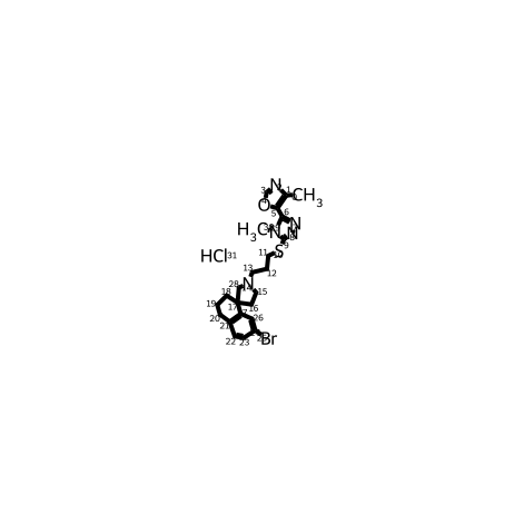 Cc1ncoc1-c1nnc(SCCCN2CCC3(CCCc4ccc(Br)cc43)C2)n1C.Cl